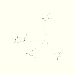 CO[C@H]1OC(CSCCNC(=S)NCC(COCCCS[C@@H]2OC(CO)[C@@H](O)[C@H](O)C2O)(COCCCS[C@@H]2OC(CO)[C@@H](O)[C@H](O)C2O)COCCCS[C@@H]2OC(CO)[C@@H](O[C@@H]3OC(CO)[C@H](O)[C@H](O)C3O)[C@H](O)C2O)C(C)[C@H](O)C1O